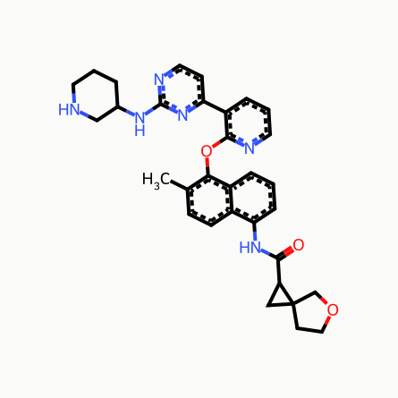 Cc1ccc2c(NC(=O)C3CC34CCOC4)cccc2c1Oc1ncccc1-c1ccnc(NC2CCCNC2)n1